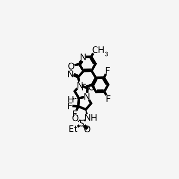 CCS(=O)(=O)N[C@@H]1CN2C(=O)N(c3noc4nc(C)cc(-c5c(F)cc(F)cc5F)c34)C[C@@H]2C1(F)F